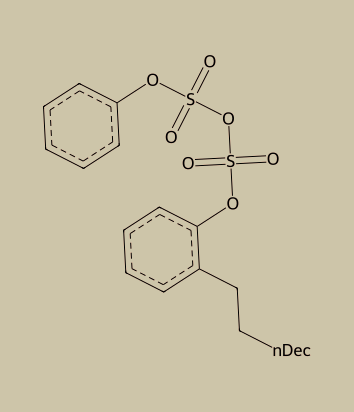 CCCCCCCCCCCCc1ccccc1OS(=O)(=O)OS(=O)(=O)Oc1ccccc1